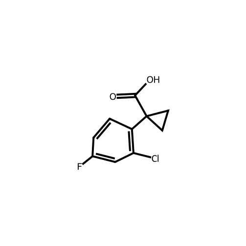 O=C(O)C1(c2ccc(F)cc2Cl)CC1